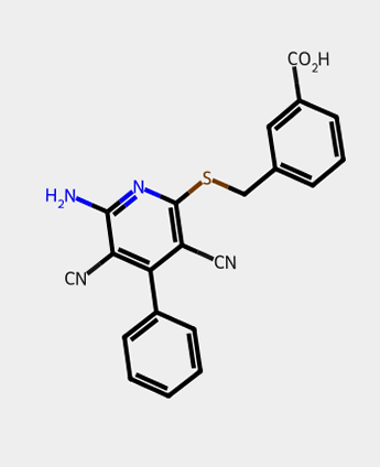 [C-]#[N+]c1c(N)nc(SCc2cccc(C(=O)O)c2)c(C#N)c1-c1ccccc1